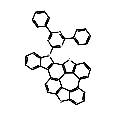 c1ccc(-c2nc(-c3ccccc3)nc(-n3c4ccccc4c4c5ccc6oc7cccc8c7c6c5c5c(oc6cccc-8c65)c43)n2)cc1